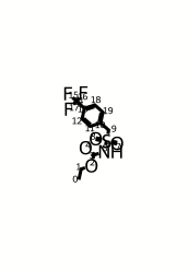 CCOC(=O)NS(=O)(=O)Cc1ccc(C(F)(F)F)cc1